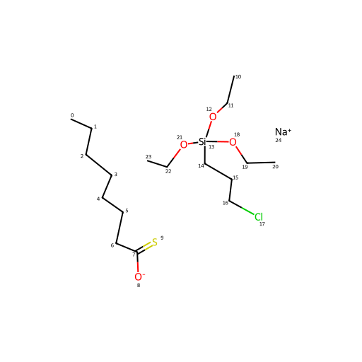 CCCCCCCC([O-])=S.CCO[Si](CCCCl)(OCC)OCC.[Na+]